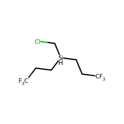 FC(F)(F)CC[SiH](CCl)CCC(F)(F)F